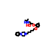 CC(C)NC[C@H](O)COc1ccccc1OCCCCCCN1CCN(c2ccccc2)CC1